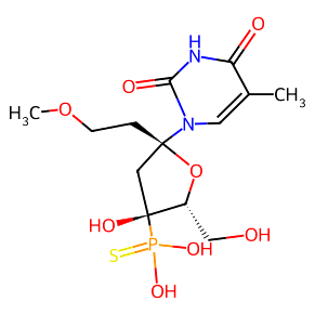 COCC[C@]1(n2cc(C)c(=O)[nH]c2=O)C[C@@](O)(P(O)(O)=S)[C@@H](CO)O1